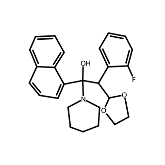 OC(c1cccc2ccccc12)(C(c1ccccc1F)C1OCCO1)N1CCCCC1